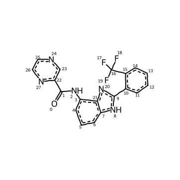 O=C(Nc1cccc2[nH]c(-c3ccccc3C(F)(F)F)nc12)c1cnccn1